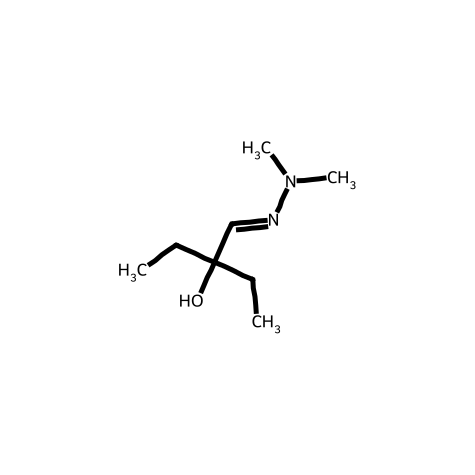 CCC(O)(C=NN(C)C)CC